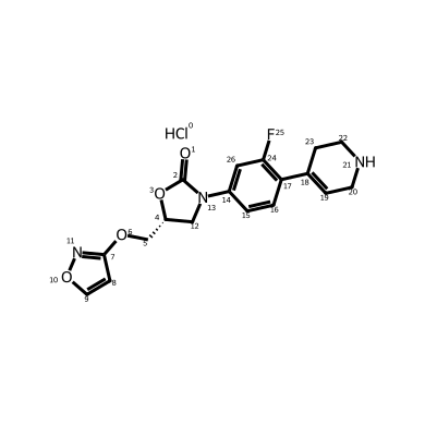 Cl.O=C1O[C@@H](COc2ccon2)CN1c1ccc(C2=CCNCC2)c(F)c1